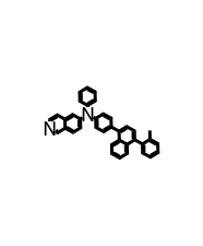 Cc1ccccc1-c1ccc(-c2ccc(N(c3ccccc3)c3ccc4cnccc4c3)cc2)c2ccccc12